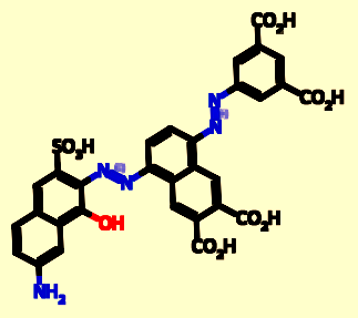 Nc1ccc2cc(S(=O)(=O)O)c(/N=N/c3ccc(/N=N/c4cc(C(=O)O)cc(C(=O)O)c4)c4cc(C(=O)O)c(C(=O)O)cc34)c(O)c2c1